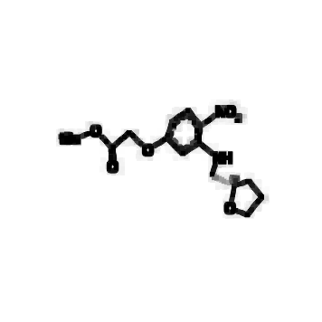 CC(C)(C)OC(=O)COc1ccc([N+](=O)[O-])c(NC[C@@H]2CCCO2)c1